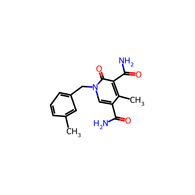 Cc1cccc(Cn2cc(C(N)=O)c(C)c(C(N)=O)c2=O)c1